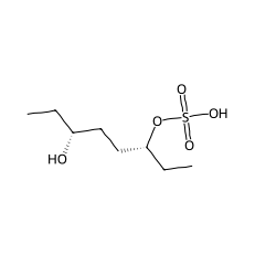 CC[C@@H](O)CC[C@@H](CC)OS(=O)(=O)O